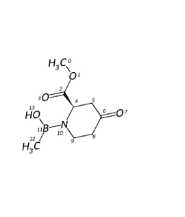 COC(=O)[C@H]1CC(=O)CCN1B(C)O